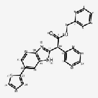 O=C(OCc1ccccc1)C(c1ccccc1)c1nc2ccc(-c3cccs3)cc2[nH]1